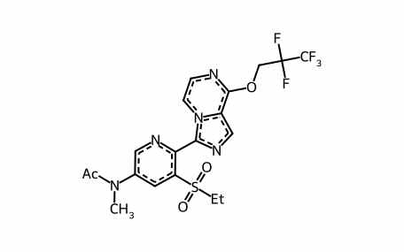 CCS(=O)(=O)c1cc(N(C)C(C)=O)cnc1-c1ncc2c(OCC(F)(F)C(F)(F)F)nccn12